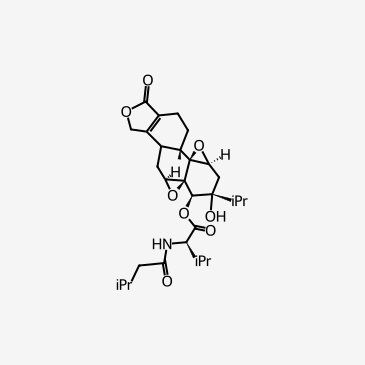 CC(C)CC(=O)N[C@@H](C(=O)O[C@H]1[C@]23O[C@H]2CC2C4=C(CC[C@]2(C)[C@@]32O[C@H]2C[C@@]1(O)C(C)C)C(=O)OC4)C(C)C